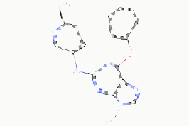 CCCCn1cnc2c(Oc3ccccc3)nc(Nc3ccc(OC)nc3)nc21